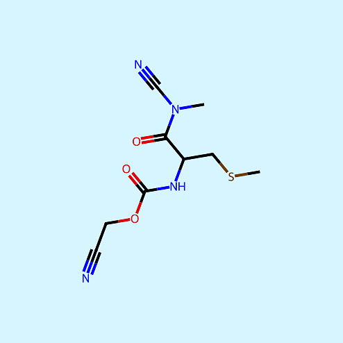 CSCC(NC(=O)OCC#N)C(=O)N(C)C#N